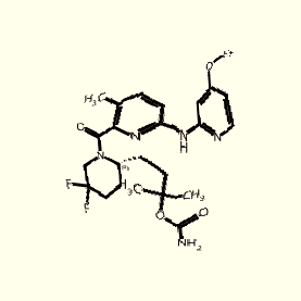 CCOc1ccnc(Nc2ccc(C)c(C(=O)N3CC(F)(F)CC[C@H]3CCC(C)(C)OC(N)=O)n2)c1